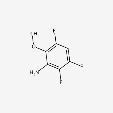 COc1c(F)cc(F)c(F)c1N